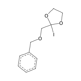 IC1(COCc2ccccc2)OCCO1